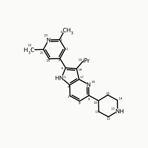 Cc1cc(-c2[nH]c3ccc(C4CCNCC4)nc3c2C(C)C)cc(C)n1